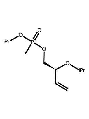 C=C[C@@H](COP(C)(=O)OC(C)C)OC(C)C